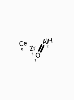 [Ce].[O]=[AlH].[Zr]